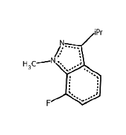 CC(C)c1nn(C)c2c(F)cccc12